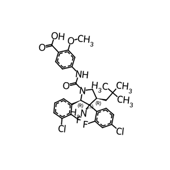 COc1cc(NC(=O)N2C[C@@H](CC(C)(C)C)[C@](N)(c3ccc(Cl)cc3F)[C@H]2c2cccc(Cl)c2F)ccc1C(=O)O